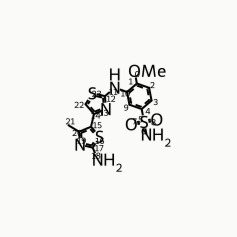 COc1ccc(S(N)(=O)=O)cc1Nc1nc(-c2sc(N)nc2C)cs1